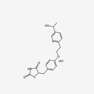 CC(O)c1ccc(CCOc2ccc(CC3SC(=O)NC3=O)cc2)nc1.Cl